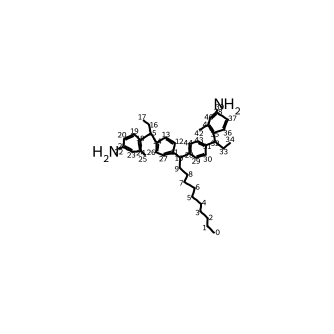 CCCCCCCCCCC(c1ccc(C(CC)c2ccc(N)cc2C)cc1)c1ccc(C(CC)c2ccc(N)cc2C)cc1